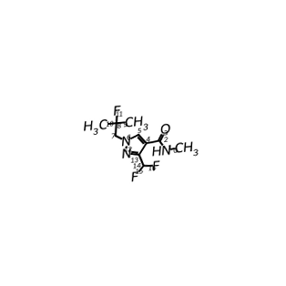 CNC(=O)c1cn(CC(C)(C)F)nc1C(F)F